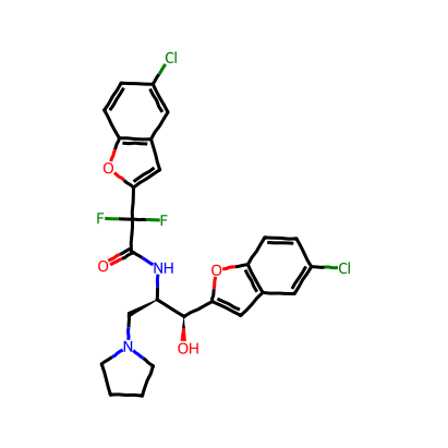 O=C(N[C@H](CN1CCCC1)[C@H](O)c1cc2cc(Cl)ccc2o1)C(F)(F)c1cc2cc(Cl)ccc2o1